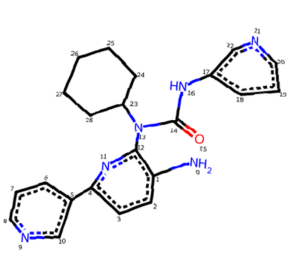 Nc1ccc(-c2cccnc2)nc1N(C(=O)Nc1cccnc1)C1CCCCC1